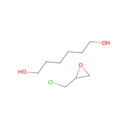 ClCC1CO1.OCCCCCCO